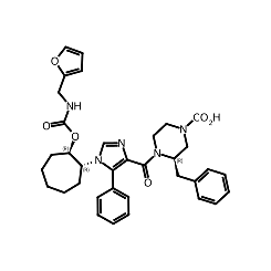 O=C(NCc1ccco1)O[C@@H]1CCCCC[C@H]1n1cnc(C(=O)N2CCN(C(=O)O)C[C@H]2Cc2ccccc2)c1-c1ccccc1